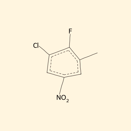 Cc1cc([N+](=O)[O-])cc(Cl)c1F